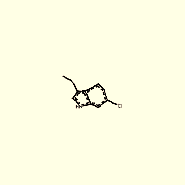 CCc1c[nH]c2cc(Cl)ccc12